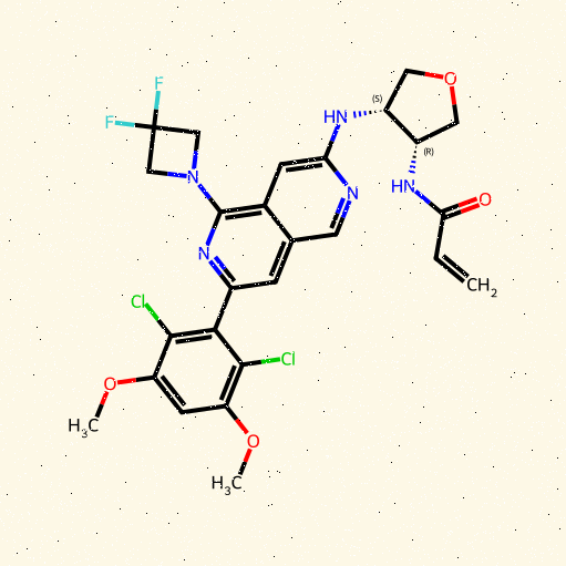 C=CC(=O)N[C@H]1COC[C@H]1Nc1cc2c(N3CC(F)(F)C3)nc(-c3c(Cl)c(OC)cc(OC)c3Cl)cc2cn1